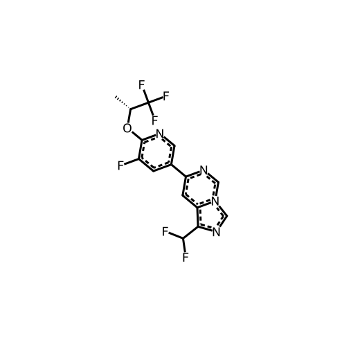 C[C@@H](Oc1ncc(-c2cc3c(C(F)F)ncn3cn2)cc1F)C(F)(F)F